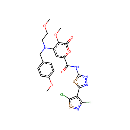 COCCN(Cc1ccc(OC)cc1)c1cc(C(=O)Nc2nnc(-c3c(Cl)nsc3Cl)s2)oc(=O)c1OC